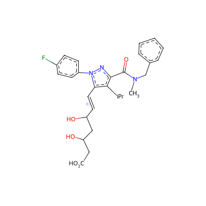 CC(C)c1c(C(=O)N(C)Cc2ccccc2)nn(-c2ccc(F)cc2)c1/C=C/C(O)CC(O)CC(=O)O